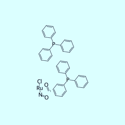 O=[N][Ru][Cl].[C]=O.c1ccc(P(c2ccccc2)c2ccccc2)cc1.c1ccc(P(c2ccccc2)c2ccccc2)cc1